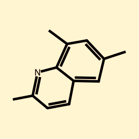 Cc1cc(C)c2nc(C)ccc2c1